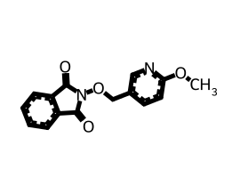 COc1ccc(CON2C(=O)c3ccccc3C2=O)cn1